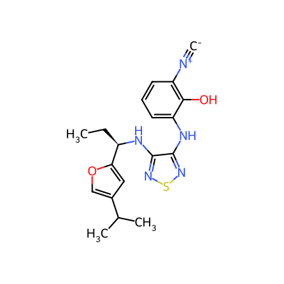 [C-]#[N+]c1cccc(Nc2nsnc2N[C@H](CC)c2cc(C(C)C)co2)c1O